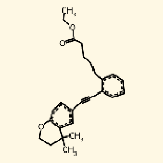 CCOC(=O)CCCCc1ccccc1C#Cc1ccc2c(c1)C(C)(C)CCO2